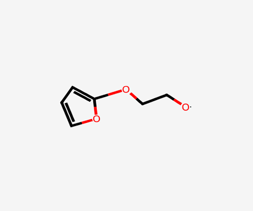 [O]CCOc1ccco1